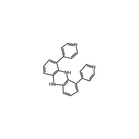 c1cc2c(c(-c3ccncc3)c1)Nc1c(cccc1-c1ccncc1)N2